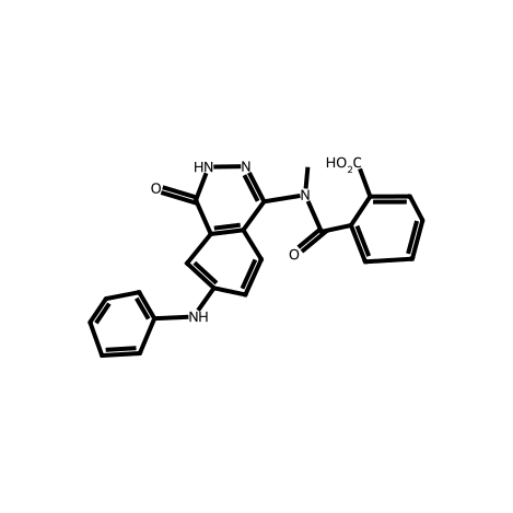 CN(C(=O)c1ccccc1C(=O)O)c1n[nH]c(=O)c2cc(Nc3ccccc3)ccc12